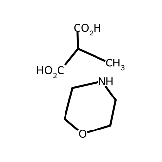 C1COCCN1.CC(C(=O)O)C(=O)O